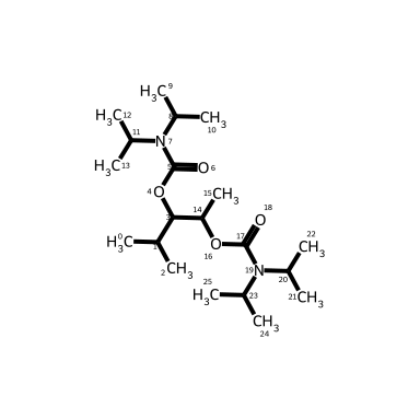 CC(C)C(OC(=O)N(C(C)C)C(C)C)C(C)OC(=O)N(C(C)C)C(C)C